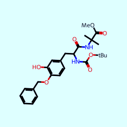 COC(=O)C(C)(C)NC(=O)C(Cc1ccc(OCc2ccccc2)c(O)c1)NC(=O)OC(C)(C)C